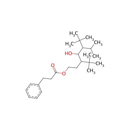 CC(C)C(C(O)C(CCOC(=O)CCc1ccccc1)C(C)(C)C)C(C)(C)C